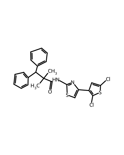 CC(C)(C(=O)Nc1nc(-c2cc(Cl)sc2Cl)cs1)C(c1ccccc1)c1ccccc1